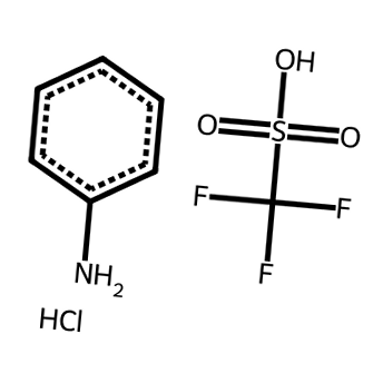 Cl.Nc1ccccc1.O=S(=O)(O)C(F)(F)F